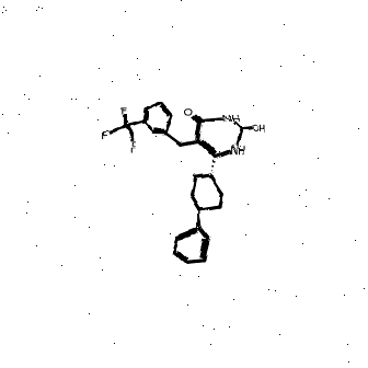 O=C1NC(O)NC([C@H]2CC[C@H](c3ccccc3)CC2)=C1Cc1cccc(C(F)(F)F)c1